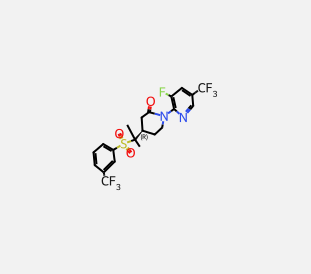 CC(C)([C@@H]1CCN(c2ncc(C(F)(F)F)cc2F)C(=O)C1)S(=O)(=O)c1cccc(C(F)(F)F)c1